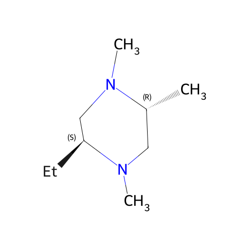 CC[C@H]1CN(C)[C@H](C)CN1C